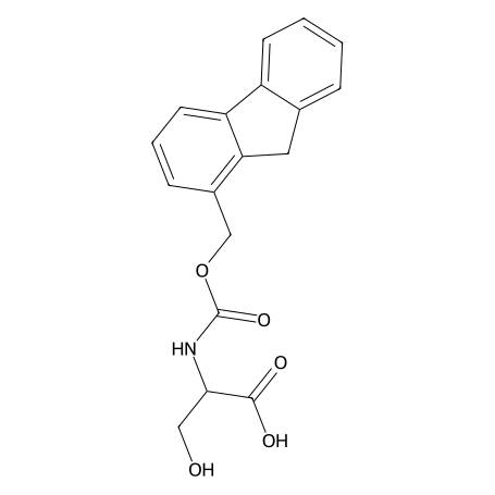 O=C(NC(CO)C(=O)O)OCc1cccc2c1Cc1ccccc1-2